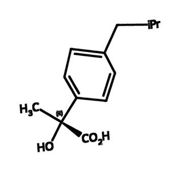 CC(C)Cc1ccc([C@@](C)(O)C(=O)O)cc1